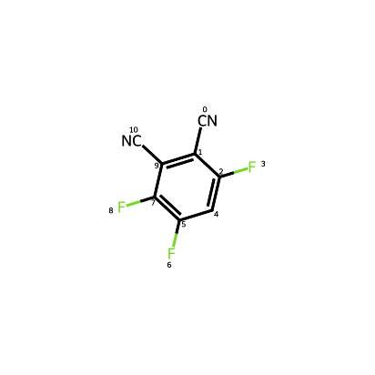 N#Cc1c(F)cc(F)c(F)c1C#N